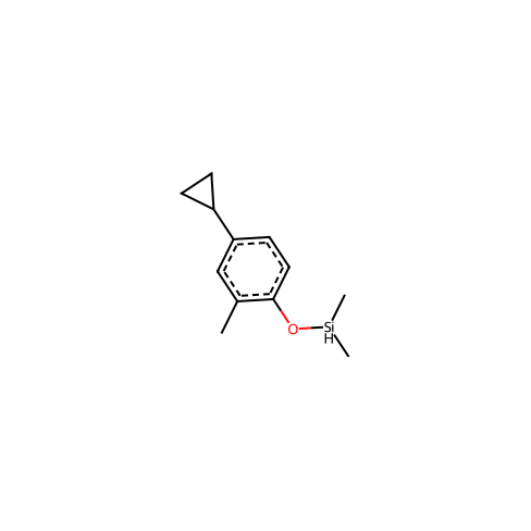 Cc1cc(C2CC2)ccc1O[SiH](C)C